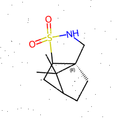 CC1(C)C2[CH]C3[C@@]1(CC2)CNS3(=O)=O